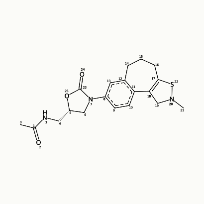 CC(=O)NC[C@H]1CN(c2ccc3c(c2)CCCC2=C3CN(C)S2)C(=O)O1